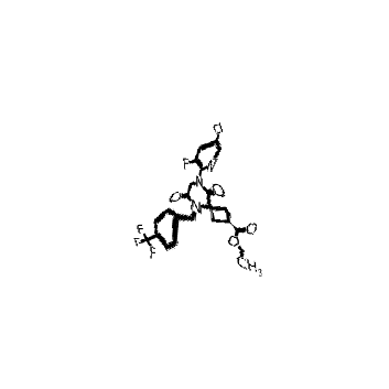 CCOC(=O)[C@H]1C[C@]2(C1)C(=O)N(c1ncc(Cl)cc1F)CC(=O)N2Cc1ccc(C(F)(F)F)cc1